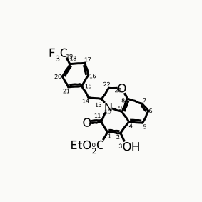 CCOC(=O)c1c(O)c2cccc3c2n(c1=O)C(Cc1ccc(C(F)(F)F)cc1)CO3